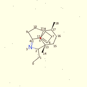 CCC1/N=C(\C2=CCC2)CCC2C[C@]1(C)CC[C@@H]2C